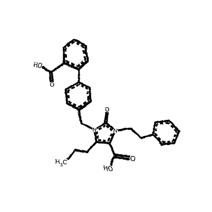 CCCc1c(C(=O)O)n(CCc2ccccc2)c(=O)n1Cc1ccc(-c2ccccc2C(=O)O)cc1